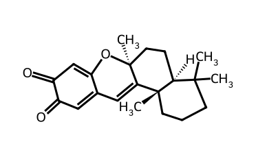 CC1(C)CCC[C@]2(C)C3=CC4=CC(=O)C(=O)C=C4O[C@@]3(C)CC[C@@H]12